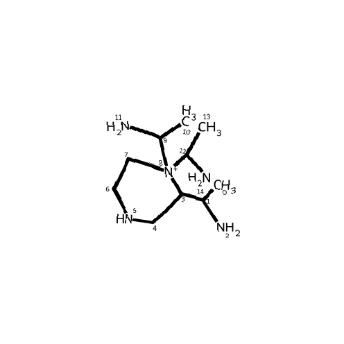 CC(N)C1CNCC[N+]1(C(C)N)C(C)N